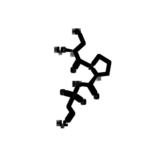 C=CCS(=O)(=O)NC(=O)[C@@H]1CCCN1C(=O)[C@H](C)CS